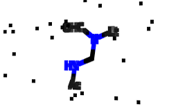 CCN([C]=O)CNC(C)=O